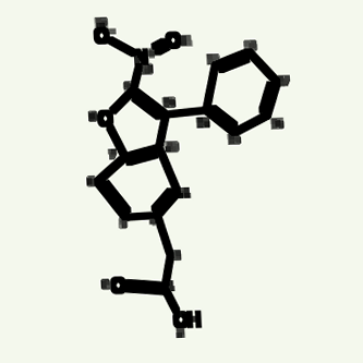 O=C(O)Cc1ccc2oc([N+](=O)[O-])c(-c3ccccc3)c2c1